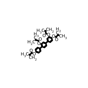 C=C(C)C(=O)Oc1ccc(-c2ccc(-c3ccc(OC(=O)C(=C)C)c(OC(=O)C(=C)C)c3)cc2OC(=O)C(=C)C)cc1